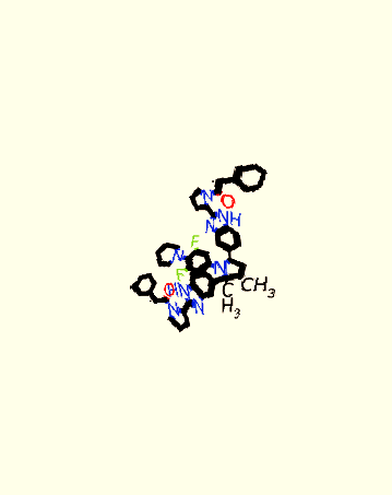 CC1C[C@H](c2ccc3[nH]c(C4CCCN4C(=O)[CH]C4CCCCC4)nc3c2)N(c2cc(F)c(N3CCCCC3)c(F)c2)[C@]1(C)c1ccc2[nH]c(C3CCCN3C(=O)[CH]C3CCCCC3)nc2c1